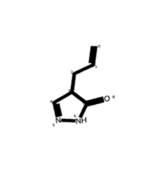 C=CCC1C=NNC1=O